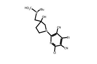 CCc1c(C#N)c(Cl)nc(N2CCC(O)(CN(C(=O)O)C(C)(C)C)C2)c1C#N